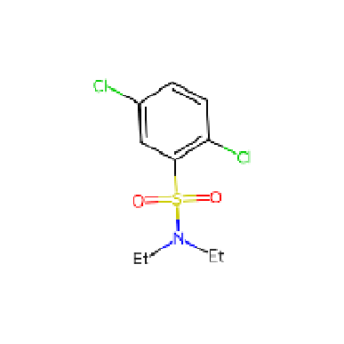 CCN(CC)S(=O)(=O)c1cc(Cl)ccc1Cl